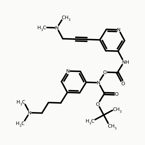 CN(C)CC#Cc1cncc(NC(=O)ON(C(=O)OC(C)(C)C)c2cncc(CCCN(C)C)c2)c1